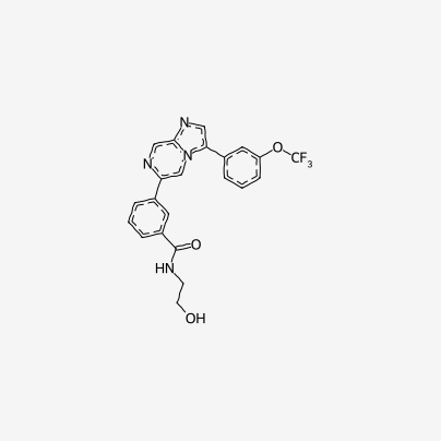 O=C(NCCO)c1cccc(-c2cn3c(-c4cccc(OC(F)(F)F)c4)cnc3cn2)c1